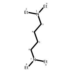 CCN(CC)CCCCN(CC)CC